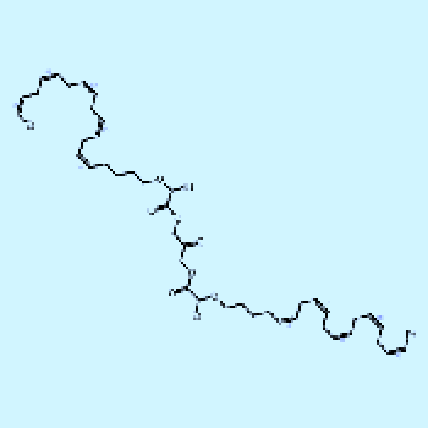 CC/C=C\C/C=C\C/C=C\C/C=C\C/C=C\CCCCOC(CC)C(=O)OCC(=O)COC(=O)C(CC)OCCCC/C=C\C/C=C\C/C=C\C/C=C\C/C=C\CC